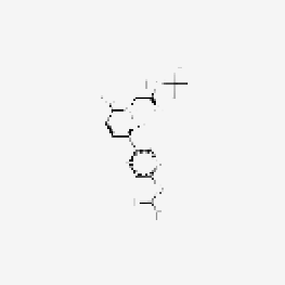 CCC(C)(C)NC(=O)CN1N=C(c2ccc(OC(F)F)nc2)C=CC1O